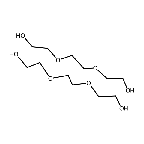 OCCOCCOCCO.OCCOCCOCCO